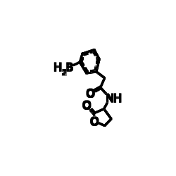 Bc1cccc(CC(=O)NC2CCOC2=O)c1